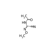 [CH2]C(=O)N/C(C#N)=N/OC